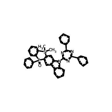 C[Si]1(C)c2ccccc2P(=O)(c2ccccc2)c2cc3c4ccccc4n(-c4nc(-c5ccccc5)nc(-c5ccccc5)n4)c3cc21